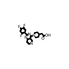 O=C(O)CC1CCN(c2nc(-c3cc(F)c(F)cc3F)nc3ccncc23)CC1